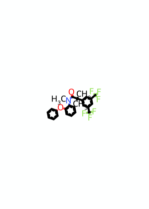 CN(C(=O)C(C)(C)c1cc(C(F)(F)F)cc(C(F)(F)F)c1)c1ccccc1Oc1ccccc1